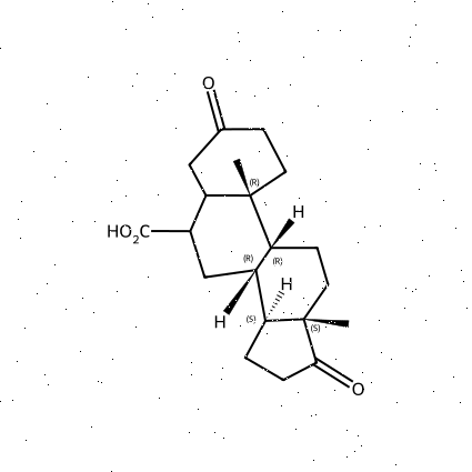 C[C@]12CCC(=O)CC1C(C(=O)O)C[C@@H]1[C@H]2CC[C@]2(C)C(=O)CC[C@@H]12